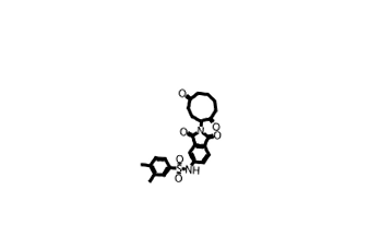 Cc1ccc(S(=O)(=O)Nc2ccc3c(c2)C(=O)N(C2CCC(=O)CCCCC2=O)C3=O)cc1C